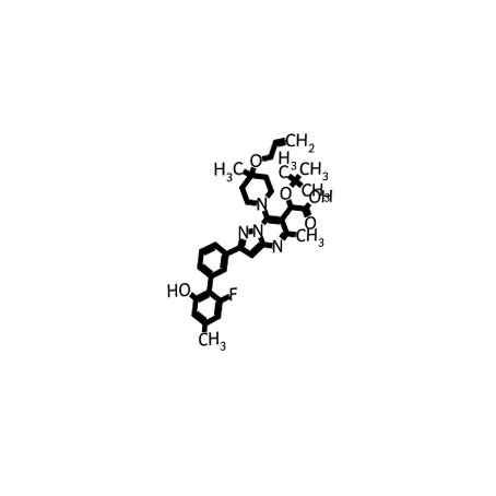 C=CCOC1(C)CCN(c2c(C(OC(C)(C)C)C(=O)O)c(C)nc3cc(-c4cccc(-c5c(O)cc(C)cc5F)c4)nn23)CC1